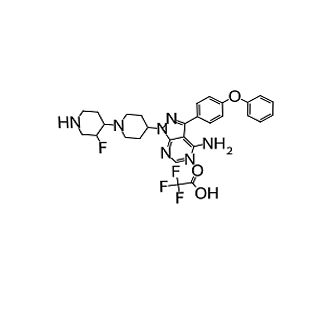 Nc1ncnc2c1c(-c1ccc(Oc3ccccc3)cc1)nn2C1CCN(C2CCNCC2F)CC1.O=C(O)C(F)(F)F